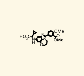 COC(=O)c1cc(-c2nc3cc(N[C@H](C(=O)O)C4CC4)cc4c3n2CCCO4)ccc1OC